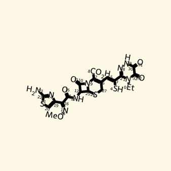 CCn1c(C(S)=CC2=C(C(=O)O)N3C(=O)C(NC(=O)C(=NOC)c4csc(N)n4)C3SC2)n[nH]c(=O)c1=O